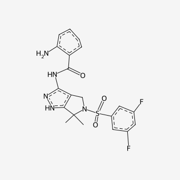 CC1(C)c2[nH]nc(NC(=O)c3ccccc3N)c2CN1S(=O)(=O)c1cc(F)cc(F)c1